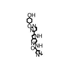 Cn1cc(C(=O)Nc2cc3[nH]c(-c4ccnc(O[C@H]5CC[C@H](O)CC5)n4)cc3cn2)cn1